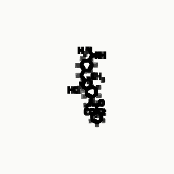 CCOC(=O)CN(C(=O)c1ccccc1)c1ccc2c(c1)nc(Cc1ccc(C(=N)N)cc1)n2C.Cl